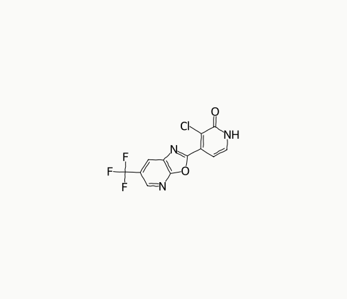 O=c1[nH]ccc(-c2nc3cc(C(F)(F)F)cnc3o2)c1Cl